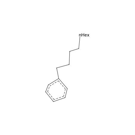 CCCC[CH]CCCCCc1ccccc1